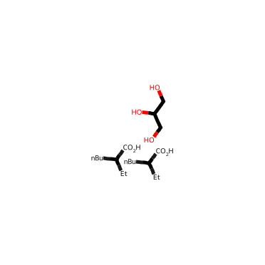 CCCCC(CC)C(=O)O.CCCCC(CC)C(=O)O.OCC(O)CO